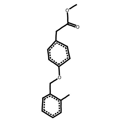 COC(=O)Cc1ccc(OCc2ccccc2C)cc1